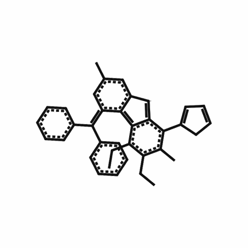 CCc1c(C)c(C2=CC=CC2)c2c(c1CC)=c1c(cc(C)cc1=C(c1ccccc1)c1ccccc1)[C]=2